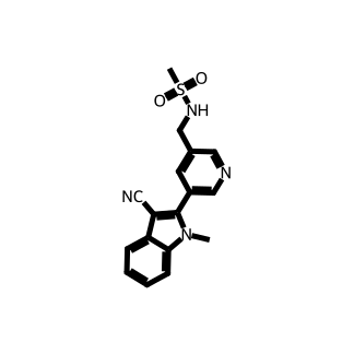 Cn1c(-c2cncc(CNS(C)(=O)=O)c2)c(C#N)c2ccccc21